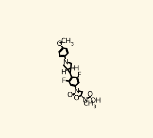 COc1ccc(N2C[C@@H]3C(c4c(F)cc(N5C[C@@H](N(C)C(=O)O)OC5=O)cc4F)[C@@H]3C2)cc1